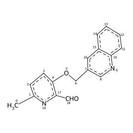 Cc1ccc(OCc2cnc3ccccc3c2)c(C=O)n1